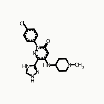 CN1CCC(Nc2cc(=O)n(-c3ccc(Cl)cc3)nc2C2=NNCN2)CC1